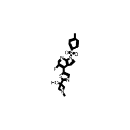 Cc1ccc(S(=O)(=O)n2ccc3c(-c4cnc(C5(O)CN(C)C5)s4)c(F)cnc32)cc1